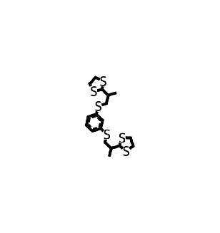 CC(CSc1cccc(SCC(C)C2SCCS2)c1)C1SCCS1